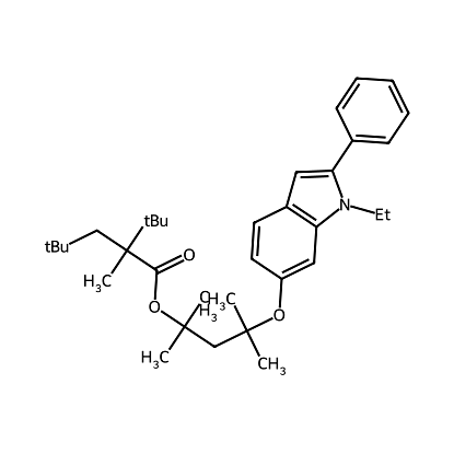 CCn1c(-c2ccccc2)cc2ccc(OC(C)(C)CC(C)(C)OC(=O)C(C)(CC(C)(C)C)C(C)(C)C)cc21